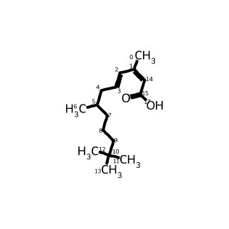 CC(C=CCC(C)CCCC(C)(C)C)=CC(=O)O